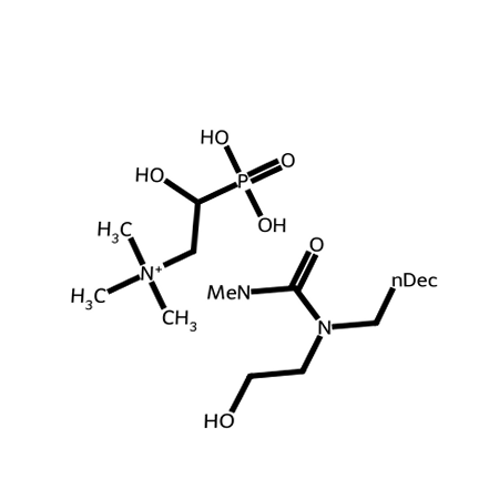 CCCCCCCCCCCN(CCO)C(=O)NC.C[N+](C)(C)CC(O)P(=O)(O)O